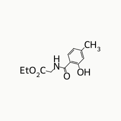 CCOC(=O)CNC(=O)c1ccc(C)cc1O